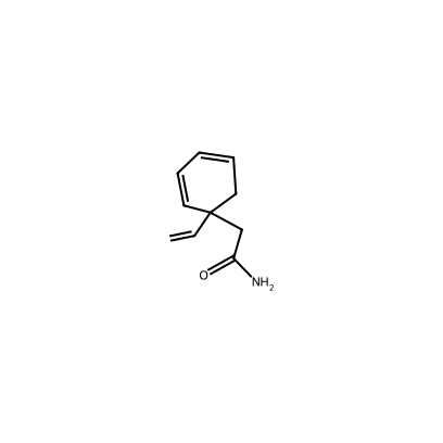 C=CC1(CC(N)=O)C=CC=CC1